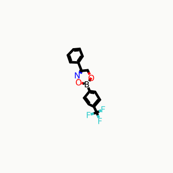 FC(F)(F)c1ccc(B2OCC(c3ccccc3)=NO2)cc1